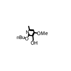 CCCCOc1nc(C)cc(OC)c1CO